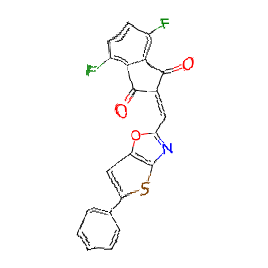 O=C1C(=Cc2nc3sc(-c4ccccc4)cc3o2)C(=O)c2c(F)ccc(F)c21